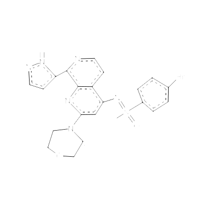 C[C@@H]1COCCN1c1cc(N=S(C)(=O)c2ccc(Br)cc2)c2ccnc(-c3ccn[nH]3)c2n1